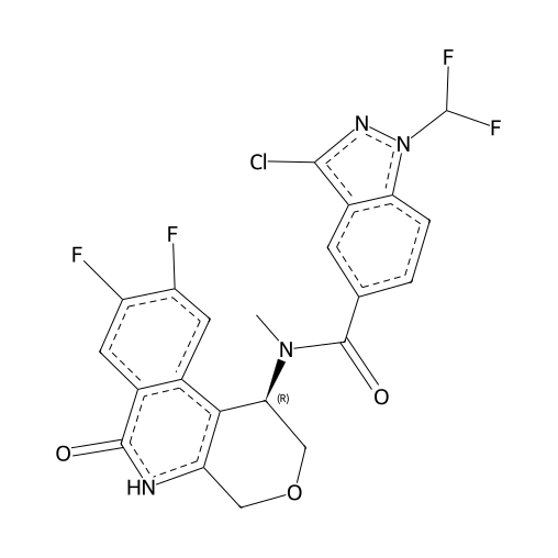 CN(C(=O)c1ccc2c(c1)c(Cl)nn2C(F)F)[C@H]1COCc2[nH]c(=O)c3cc(F)c(F)cc3c21